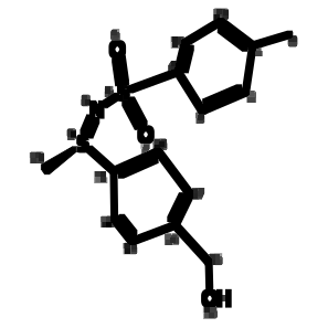 Cc1ccc(S(=O)(=O)N=[S@](C)c2ccc(CO)cc2)cc1